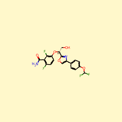 NC(=O)c1c(F)ccc(O[C@H](CO)c2nc(-c3ccc(OC(F)F)cc3)co2)c1F